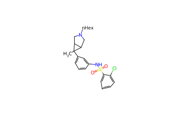 CCCCCCN1CC2C(C1)C2(C)c1cccc(NS(=O)(=O)c2ccccc2Cl)c1